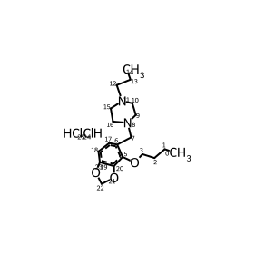 CCCCOc1c(CN2CCN(CCC)CC2)ccc2c1OCO2.Cl.Cl